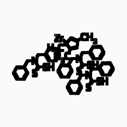 CC1=C[C](C)([Zr])C(C)=C1.S=C(S)N(Cc1ccccc1)Cc1ccccc1.S=C(S)N(Cc1ccccc1)Cc1ccccc1.S=C(S)N(Cc1ccccc1)Cc1ccccc1